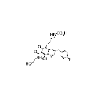 O=C(O)NCCCCn1c(=O)c(C(=O)NCCO)c(O)c2ncc(Cc3ccc(F)cc3)cc21